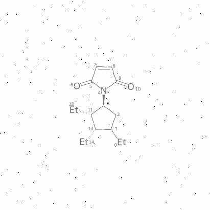 CCC1C[C@H](N2C(=O)C=CC2=O)[C@@H](CC)[C@H]1CC